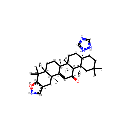 CC1(C)CC[C@]2(n3cncn3)CC[C@]3(C)[C@H](C(=O)C=C4[C@@]5(C)Cc6cnoc6C(C)(C)[C@@H]5CC[C@]43C)[C@@H]2C1